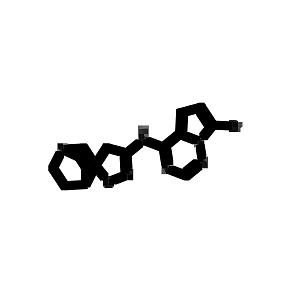 Brc1ccc2c(NC3=NOC4(C3)CN3CCC4CC3)ncnn12